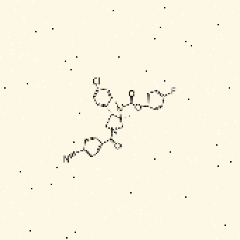 CN(C(=O)Oc1ccc(F)cc1)[C@@]1(C)CN(C(=O)c2ccc(C#N)cc2)C[C@@H]1c1ccc(Cl)cc1